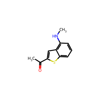 CNc1cccc2sc(C(C)=O)cc12